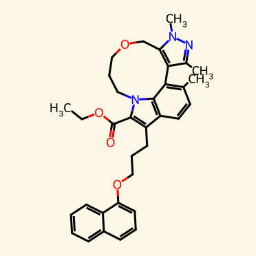 CCOC(=O)c1c(CCCOc2cccc3ccccc23)c2ccc(C)c3c2n1CCCOCc1c-3c(C)nn1C